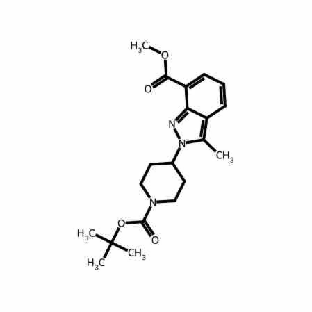 COC(=O)c1cccc2c(C)n(C3CCN(C(=O)OC(C)(C)C)CC3)nc12